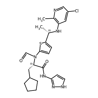 Cc1ncc(Cl)cc1N[C@@H](C)c1ccc(N(C=O)[C@@H](CC2CCCC2)C(=O)Nc2cc[nH]n2)s1